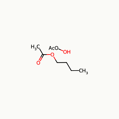 CC(=O)OO.CCCCOC(C)=O